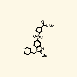 CNC(=O)C1CCN(S(=O)(=O)c2ccc3c(c2)nc(C(C)(C)C)n3CC2CCOCC2)C1